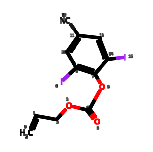 C=CCOC(=O)Oc1c(I)cc(C#N)cc1I